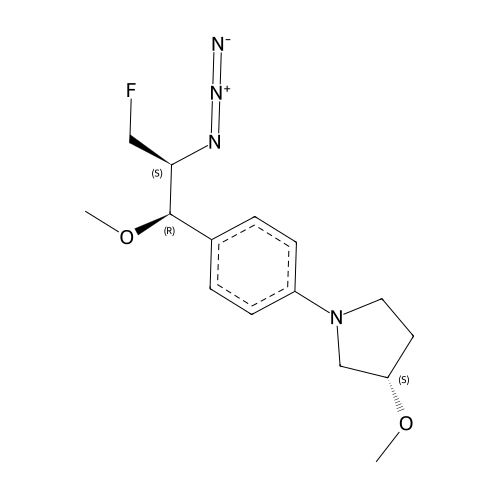 CO[C@H]1CCN(c2ccc([C@@H](OC)[C@@H](CF)N=[N+]=[N-])cc2)C1